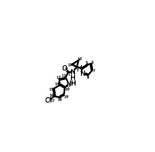 O=C(NC1(c2ccccn2)CC1)c1cc2cc(Cl)ccc2[nH]1